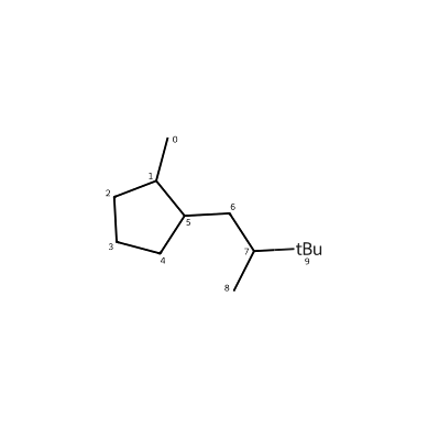 CC1CCCC1CC(C)C(C)(C)C